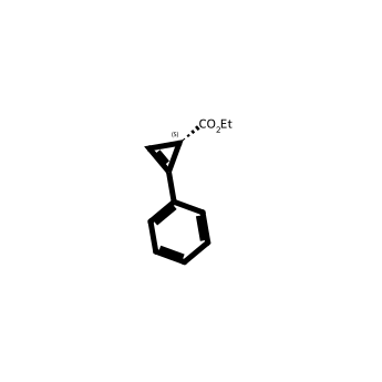 CCOC(=O)[C@H]1C=C1c1ccccc1